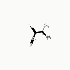 C[C@H](N)C(=O)B=O